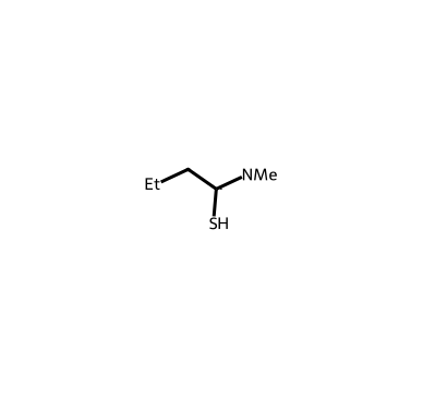 CCC[C](S)NC